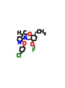 CCc1ccc(OCF)c(CN(C(C)=O)c2cccnc2Oc2ccc(Cl)cc2)c1